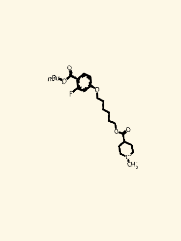 [CH2-][C+]1CCC(C(=O)OCCCCCCOc2ccc(C(=O)OCCCC)c(F)c2)CC1